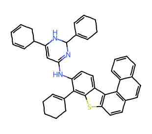 C1=CCC(C2=CC(Nc3ccc4c(sc5ccc6ccc7ccccc7c6c54)c3C3=CCCCC3)=NC(C3=CCCC=C3)N2)C=C1